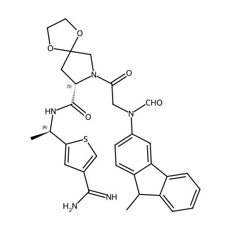 CC1c2ccccc2-c2cc(N(C=O)CC(=O)N3CC4(C[C@H]3C(=O)N[C@H](C)c3cc(C(=N)N)cs3)OCCO4)ccc21